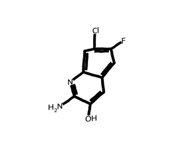 Nc1nc2cc(Cl)c(F)cc2cc1O